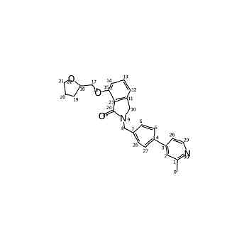 Cc1cc(-c2ccc(CN3Cc4cccc(OCC5CCCO5)c4C3=O)cc2)ccn1